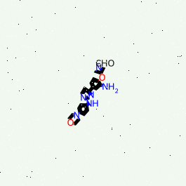 Nc1cc(-c2ccnc(Nc3ccc(N4CCOCC4)cc3)n2)ccc1OC1CN(C=O)C1